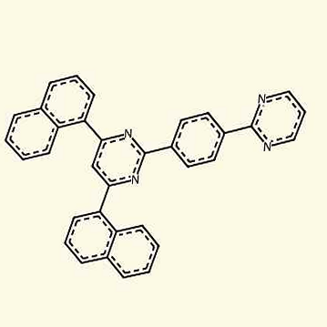 c1cnc(-c2ccc(-c3nc(-c4cccc5ccccc45)cc(-c4cccc5ccccc45)n3)cc2)nc1